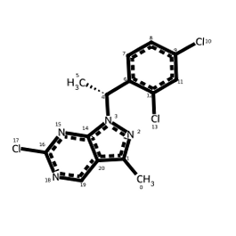 Cc1nn([C@H](C)c2ccc(Cl)cc2Cl)c2nc(Cl)ncc12